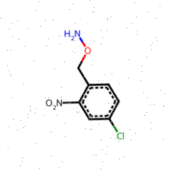 NOCc1ccc(Cl)cc1[N+](=O)[O-]